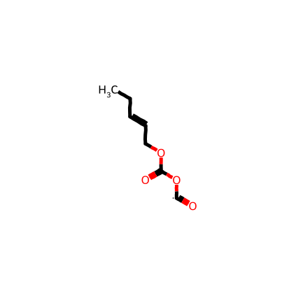 CCC=CCOC(=O)O[C]=O